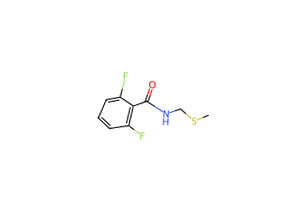 CSCNC(=O)c1c(F)cccc1F